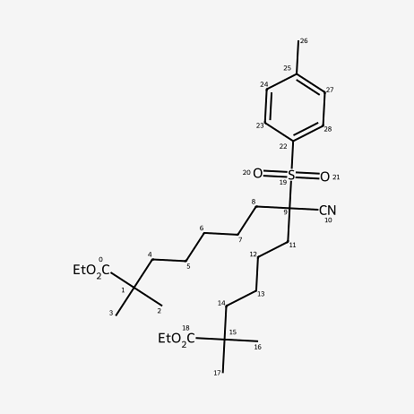 CCOC(=O)C(C)(C)CCCCCC(C#N)(CCCCC(C)(C)C(=O)OCC)S(=O)(=O)c1ccc(C)cc1